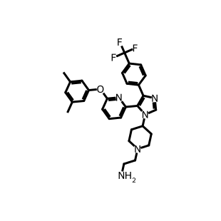 Cc1cc(C)cc(Oc2cccc(-c3c(-c4ccc(C(F)(F)F)cc4)ncn3C3CCN(CCN)CC3)n2)c1